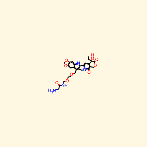 CC[C@@]1(O)C(=O)OCc2c1cc1n(c2=O)Cc2c-1nc1cc3c(cc1c2COCCOCNC(=O)CN)OCO3